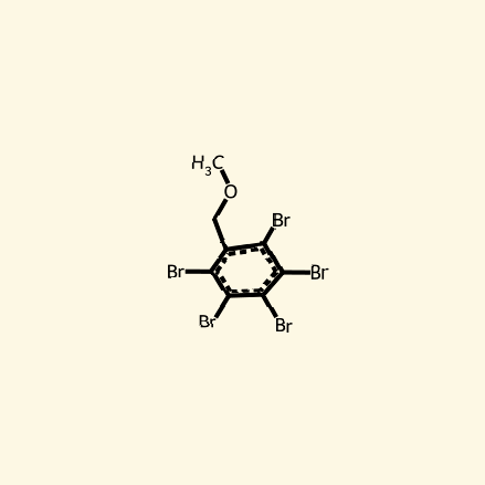 COCc1c(Br)c(Br)c(Br)c(Br)c1Br